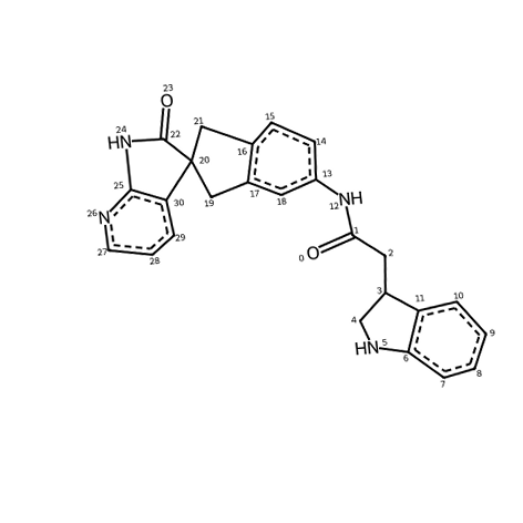 O=C(CC1CNc2ccccc21)Nc1ccc2c(c1)CC1(C2)C(=O)Nc2ncccc21